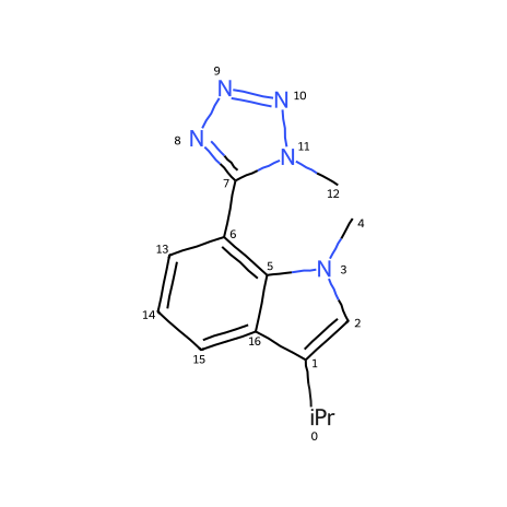 CC(C)c1cn(C)c2c(-c3nnnn3C)cccc12